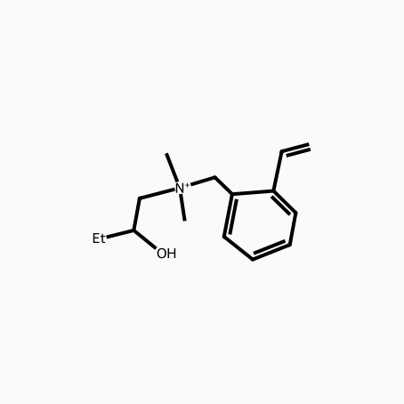 C=Cc1ccccc1C[N+](C)(C)CC(O)CC